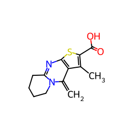 C=C1c2c(sc(C(=O)O)c2C)N=C2CCCCN12